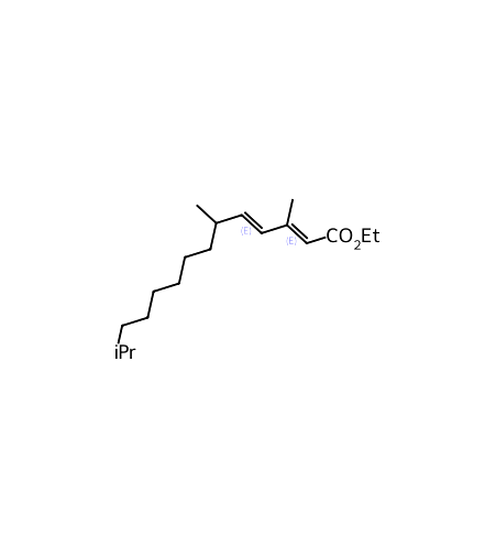 CCOC(=O)/C=C(C)/C=C/C(C)CCCCCCC(C)C